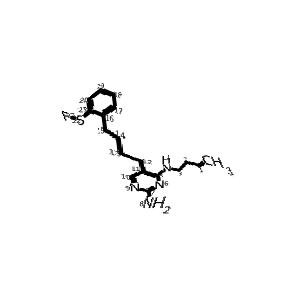 CCCCNc1nc(N)ncc1CCCCc1ccccc1SF